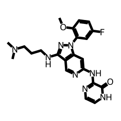 COc1ccc(F)cc1-n1nc(NCCCN(C)C)c2cnc(Nc3ncc[nH]c3=O)cc21